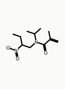 C=C(C)C(=O)N(CC(CC)[N+](=O)[O-])C(C)C